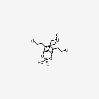 O=P1(O)Oc2c(CCCl)c(CCCl)c(CCCl)c(c2CCCl)O1